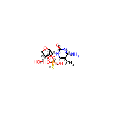 Cc1cn([C@@H]2O[C@@]3(CO)COC2C3OP(O)(O)=S)c(=O)nc1N